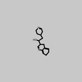 OC(CC1CC=NCC1)C1C=NC2=CCCC=C2C1